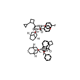 Cc1nc2ccccc2n1[C@@H]1C[C@H]2CSC[C@@H](C1)N2CC[C@H](NC(=O)C1CCC1)c1ccccc1.O=C(Cc1ccc(F)cc1)N[C@H]1C[C@H]2CC[C@@H](C1)N2CC[C@H](NC(=O)C1CCC1C1CC1)c1ccccc1